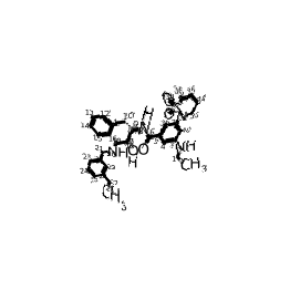 CCNc1cc(C(=O)N[C@@H](Cc2ccccc2)[C@H](O)CNCc2cccc(CC)c2)cc(N2CCCCS2(=O)=O)c1